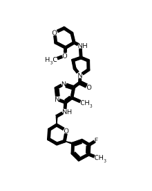 COC1COCCC1NC1CCN(C(=O)c2ncnc(NC[C@@H]3CCC[C@H](c4ccc(C)c(F)c4)O3)c2C)CC1